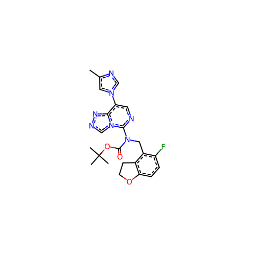 Cc1cn(-c2cnc(N(Cc3c(F)ccc4c3CCO4)C(=O)OC(C)(C)C)n3cnnc23)cn1